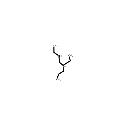 CCC[C@H](CC)CNCC